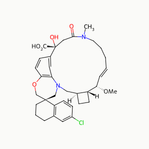 CO[C@H]1/C=C/CCCN(C)C(=O)C[C@](O)(C(=O)O)c2ccc3c(c2)N(C[C@@H]2CC[C@H]21)C[C@@]1(CCCc2cc(Cl)ccc21)CO3